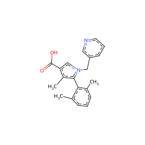 Cc1cccc(C)c1-c1c(C)c(C(=O)O)cn1Cc1cccnc1